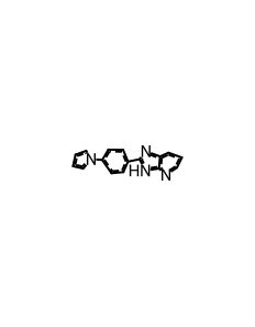 c1cnc2[nH]c(-c3ccc(-n4cccc4)cc3)nc2c1